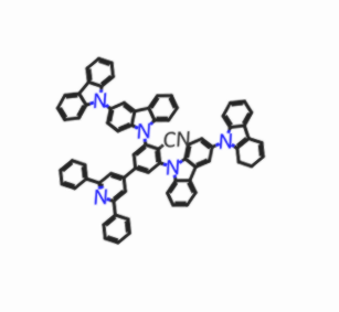 N#Cc1c(-n2c3ccccc3c3cc(-n4c5c(c6ccccc64)C=CCC5)ccc32)cc(-c2cc(-c3ccccc3)nc(-c3ccccc3)c2)cc1-n1c2ccccc2c2cc(-n3c4ccccc4c4ccccc43)ccc21